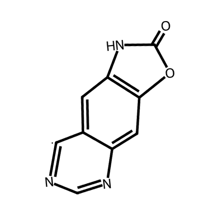 O=c1[nH]c2cc3[c]ncnc3cc2o1